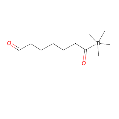 [CH3][Ti]([CH3])([CH3])([CH3])[C](=O)CCCCCC=O